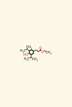 CCOC(=O)CCc1cc(C(C)C)c(O)c(C(C)C)c1